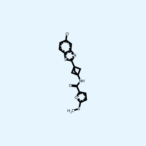 CSc1ccc(C(=O)NC23CC(c4nc5cc(Cl)ccc5s4)(C2)C3)o1